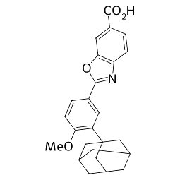 COc1ccc(-c2nc3ccc(C(=O)O)cc3o2)cc1C12CC3CC(CC(C3)C1)C2